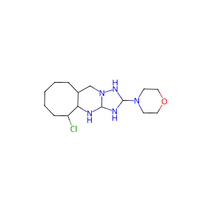 ClC1CCCCCC2CN3NC(N4CCOCC4)NC3NC12